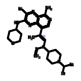 C=NN(/C=C(\C)c1cnc(N)c2nc(CC)c(NC3CCOCC3)nc12)C1CCN(C(CC)CC)CC1